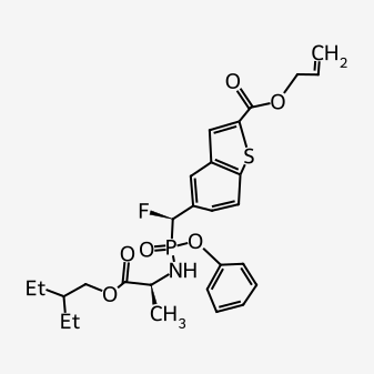 C=CCOC(=O)c1cc2cc([C@H](F)P(=O)(N[C@@H](C)C(=O)OCC(CC)CC)Oc3ccccc3)ccc2s1